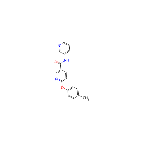 Cc1ccc(Oc2ccc(C(=O)Nc3cccnc3)cn2)cc1